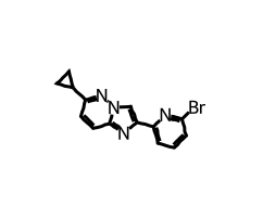 Brc1cccc(-c2cn3nc(C4CC4)ccc3n2)n1